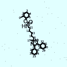 Cc1ccccc1OC(=O)NCCCCCC1(C)N=C(c2ccccc2)C(c2ccccc2)=N1